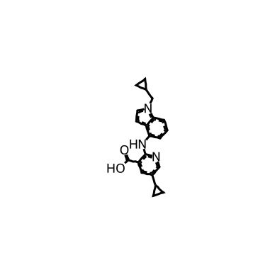 O=C(O)c1cc(C2CC2)cnc1Nc1cccc2c1ccn2CC1CC1